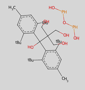 Cc1cc(C(C)(C)C)c(C(O)(c2c(C(C)(C)C)cc(C)cc2C(C)(C)C)C(CO)(CO)CO)c(C(C)(C)C)c1.OPOPO